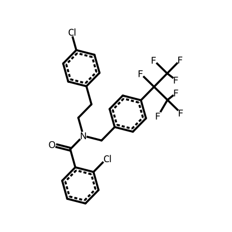 O=C(c1ccccc1Cl)N(CCc1ccc(Cl)cc1)Cc1ccc(C(F)(C(F)(F)F)C(F)(F)F)cc1